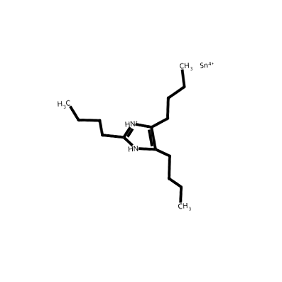 CCCCc1[nH]c(CCCC)c(CCCC)[nH+]1.[Sn+4]